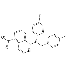 O=[N+]([O-])c1cccc2c(B(Cc3ccc(F)cc3)c3ccc(F)cc3)nccc12